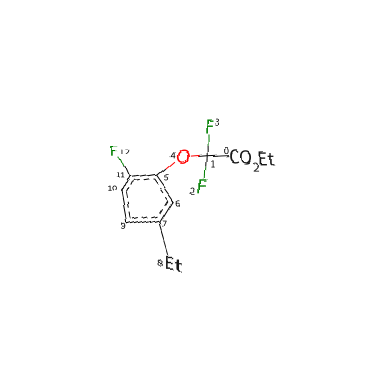 CCOC(=O)C(F)(F)Oc1cc(CC)ccc1F